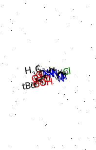 C[C@H]1CN(c2ccn(-c3cnnc(Cl)c3)n2)C(=O)[C@@H](C(O)C(=O)OC(C)(C)C)O1